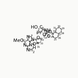 COc1nc(N)nc2c1ncn2C1O[C@H](COP(=O)(NC(C(=O)O)C(C)C)Oc2cccc3ccccc23)C[C@@]1(C)O